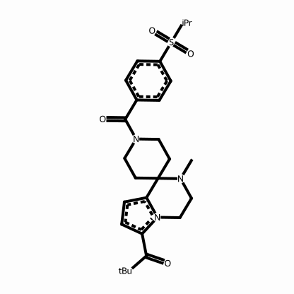 CC(C)S(=O)(=O)c1ccc(C(=O)N2CCC3(CC2)c2ccc(C(=O)C(C)(C)C)n2CCN3C)cc1